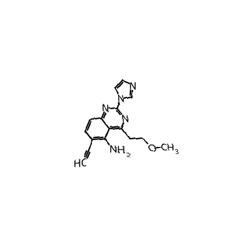 C#Cc1ccc2nc(-n3ccnc3)nc(CCOC)c2c1N